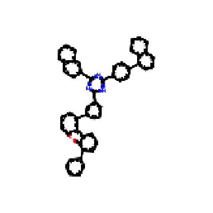 c1ccc(-c2cccc3c2oc2cccc(-c4cccc(-c5nc(-c6ccc(-c7cccc8ccccc78)cc6)nc(-c6ccc7ccccc7c6)n5)c4)c23)cc1